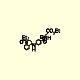 CCOC(=O)CCNS(=O)(=O)c1ccc(N[C@@H]2C[C@H](C)N(C(=O)CC)c3ccccc32)cc1